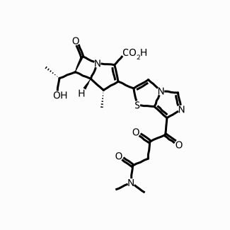 C[C@@H](O)[C@H]1C(=O)N2C(C(=O)O)=C(c3cn4cnc(C(=O)C(=O)CC(=O)N(C)C)c4s3)[C@H](C)[C@H]12